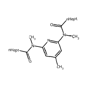 CCCCCCCC(=O)N(C)c1cc(C)cc(N(C)C(=O)CCCCCCC)n1